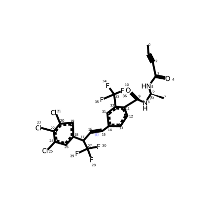 CC#CC(=O)N[C@@H](C)NC(=O)c1ccc(/C=C/C(c2cc(Cl)c(Cl)c(Cl)c2)C(F)(F)F)cc1C(F)(F)F